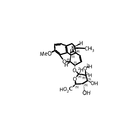 [2H]O[C@]1([2H])[C@@H](O)[C@H](O)[C@@H](C(=O)O)O[C@@]1([2H])O[C@H]1C=C[C@H]2[C@H]3Cc4ccc(OC)c5c4[C@@]2(CCN3C)[C@H]1O5